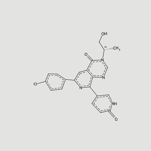 C[C@@H](CO)n1cnc2c(-c3ccc(=O)[nH]c3)nc(-c3ccc(Cl)cc3)cc2c1=O